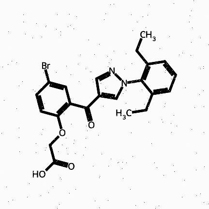 CCc1cccc(CC)c1-n1cc(C(=O)c2cc(Br)ccc2OCC(=O)O)cn1